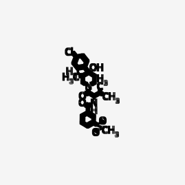 CC(C)[C@@H](NC(=O)c1cccc(S(C)(=O)=O)c1)C(=O)N1CC[C@](O)(c2ccc(Cl)cc2)C(C)(C)C1